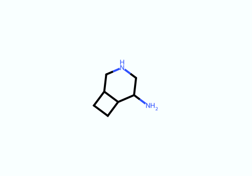 NC1CNCC2CCC12